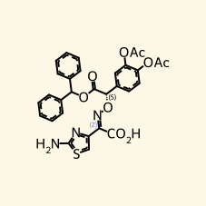 CC(=O)Oc1ccc([C@H](O/N=C(\C(=O)O)c2csc(N)n2)C(=O)OC(c2ccccc2)c2ccccc2)cc1OC(C)=O